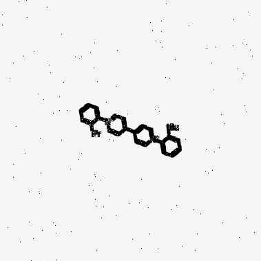 CC(C)c1ccccc1-[n+]1ccc(-c2cc[n+](-c3ccccc3C(C)(C)C)cc2)cc1